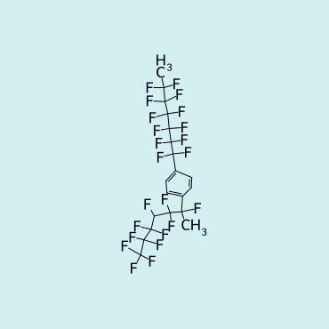 CC(F)(F)C(F)(F)C(F)(F)C(F)(F)C(F)(F)C(F)(F)c1ccc(C(C)(F)C(F)(F)C(F)C(F)(F)C(F)(F)C(F)(F)F)cc1